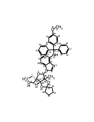 CC[C@]1(CO)O[C@@H](n2cnc3c(NC(c4ccccc4)(c4ccccc4)c4ccc(OC)cc4)ncnc32)[C@]2(C)OC3(CCCC3)O[C@H]12